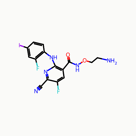 N#Cc1nc(Nc2ccc(I)cc2F)c(C(=O)NOCCN)cc1F